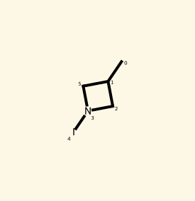 CC1CN(I)C1